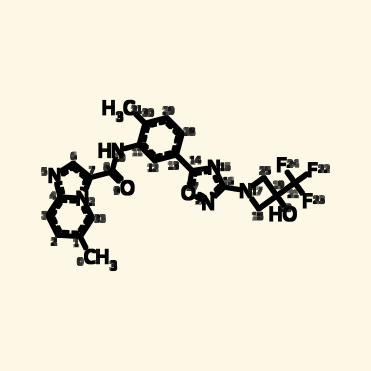 Cc1ccc2ncc(C(=O)Nc3cc(-c4nc(N5CC(O)(C(F)(F)F)C5)no4)ccc3C)n2c1